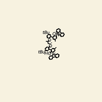 Cc1cc(-c2cc(C(C)(C)C)ccc2OC(C)C[C@@H](C)Oc2ccc(C(C)(C)C)cc2-c2cc(C)cc(-n3c4ccccc4c4ccccc43)c2O)c(O)c(-n2c3ccccc3c3ccccc32)c1